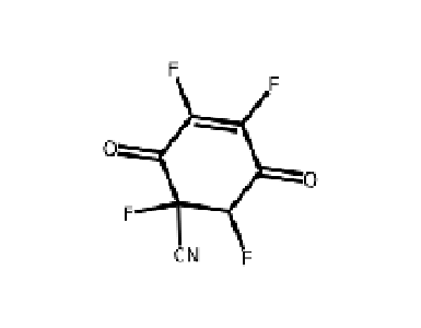 N#CC1(F)C(=O)C(F)=C(F)C(=O)C1F